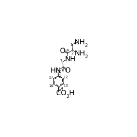 NCC(N)C(=O)NCC(=O)Nc1ccc(C(=O)O)cc1